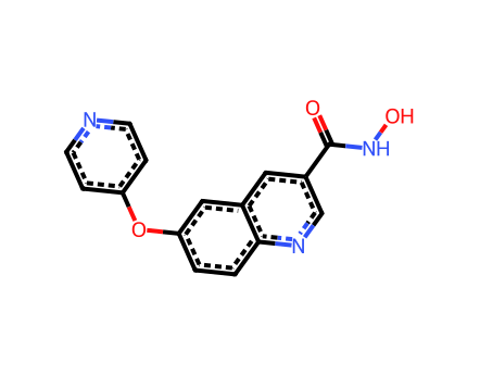 O=C(NO)c1cnc2ccc(Oc3ccncc3)cc2c1